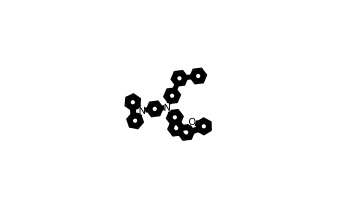 c1ccc(-c2cccc(-c3ccc(N(c4ccc(-n5c6ccccc6c6ccccc65)cc4)c4ccc5c(ccc6ccc7c8ccccc8oc7c65)c4)cc3)c2)cc1